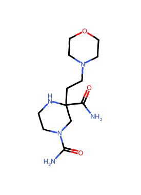 NC(=O)N1CCNC(CCN2CCOCC2)(C(N)=O)C1